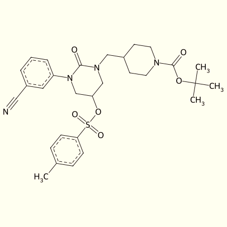 Cc1ccc(S(=O)(=O)OC2CN(CC3CCN(C(=O)OC(C)(C)C)CC3)C(=O)N(c3cccc(C#N)c3)C2)cc1